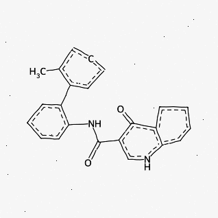 Cc1ccccc1-c1ccccc1NC(=O)c1c[nH]c2ccccc2c1=O